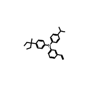 C=Cc1cccc(N(c2ccc(C(C)C)cc2)c2ccc(C(C)(CC)CC)cc2)c1